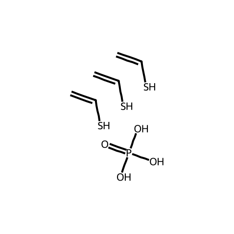 C=CS.C=CS.C=CS.O=P(O)(O)O